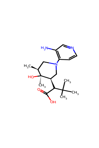 C[C@H]1CN(c2ccncc2N)C[C@@H](C(C(=O)O)C(C)(C)C)[C@@]1(C)O